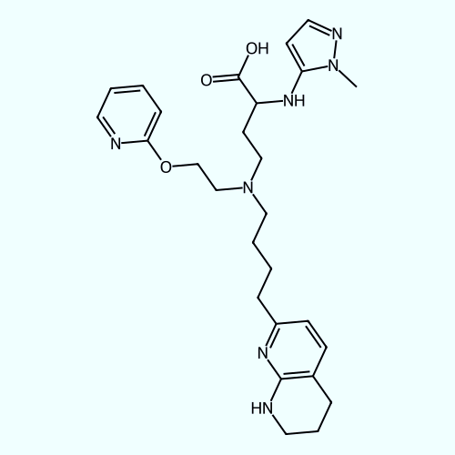 Cn1nccc1NC(CCN(CCCCc1ccc2c(n1)NCCC2)CCOc1ccccn1)C(=O)O